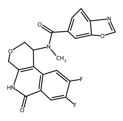 CN(C(=O)c1ccc2ncoc2c1)C1COCc2[nH]c(=O)c3cc(F)c(F)cc3c21